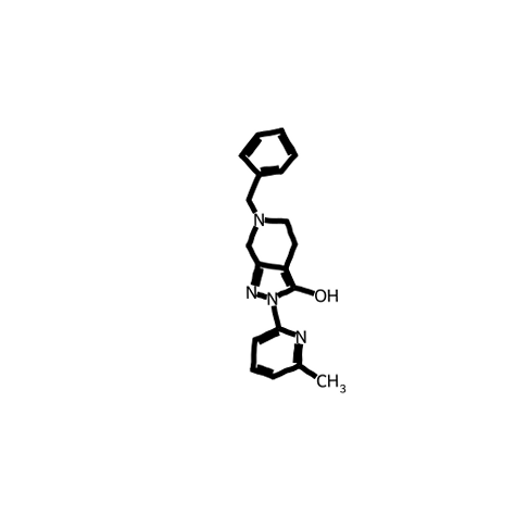 Cc1cccc(-n2nc3c(c2O)CCN(Cc2ccccc2)C3)n1